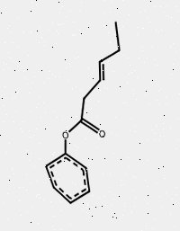 CC/C=C/CC(=O)Oc1ccccc1